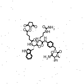 CC(C)[C@@H](C(N)=O)N(C)C(=O)OCc1ccc(NC(=O)[C@H](CCCNC(N)=O)NC(=O)[C@H](Cc2c[nH]c3ccccc23)NC(=O)CCCC(=O)ON2C(=O)CCC2=O)cc1